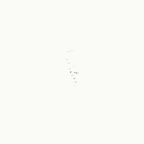 CC(C)CCC[C@@H](C)[C@H]1CCC2[C@@H]3CC=C4C[C@@H](OCCO)CC[C@]4(C)[C@H]3CC[C@@]21C